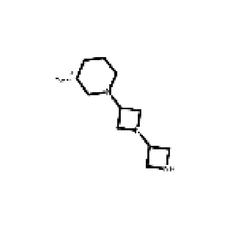 F[C@@H]1CCCN(C2CN(C3CNC3)C2)C1